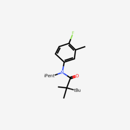 CCCC(C)N(C(=O)C(C)(C)C(C)(C)C)c1ccc(F)c(C)c1